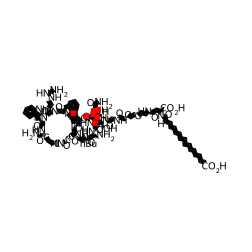 CCCC[C@H](NC(=O)[C@H](CN)NC(=O)[C@H](Cc1c[nH]cn1)NC(=O)[C@H](CCC(N)=O)NC(=O)[C@H](CO)NC(=O)CNC(=O)COCCOCCNC(=O)C[C@H](NC(=O)CCCCCCCCCCCCCCCCC(=O)O)C(=O)O)C(=O)N[C@H]1CCC(=O)NCCCC[C@@H](C(N)=O)NC(=O)[C@H](Cc2c[nH]c3ccccc23)NC(=O)[C@H](CCCNC(=N)N)NC(=O)[C@@H](Cc2ccccc2)NC(=O)[C@@H]2C[C@@H](O)CN2C1=O